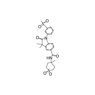 CC1(NC(=O)c2ccc3c(c2)C(C)(C)C(=O)N3c2cccc(S(C)(=O)=O)c2)CCS(=O)(=O)CC1